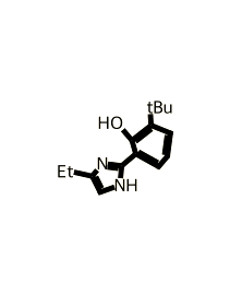 CCc1c[nH]c(-c2cccc(C(C)(C)C)c2O)n1